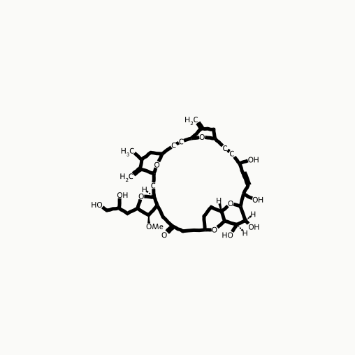 C=C1CC2CCC(O)/C=C/C(O)C3O[C@H]4CCC(CC(=O)CC5[C@@H](OC)C(CC(O)CO)O[C@H]5CC5OC(CCC1O2)CC(C)C5=C)OC4[C@H](O)[C@@H]3O